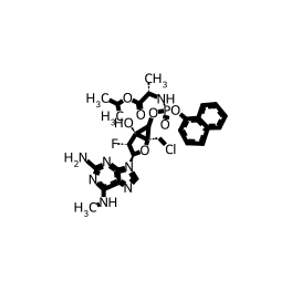 CNc1nc(N)nc2c1ncn2[C@@H]1O[C@]2(CCl)C(O[P@@](=O)(N[C@@H](C)C(=O)OC(C)C)Oc3cccc4ccccc34)[C@]2(O)[C@H]1F